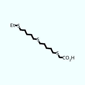 CCSCCCCCSCCCCCSCC(=O)O